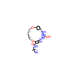 CN(C)CC(C)(C)CNC(=O)c1ccc2cc1OCCCCCCCCOc1ccc(cc1)CNc1nc(O)nc(n1)N2